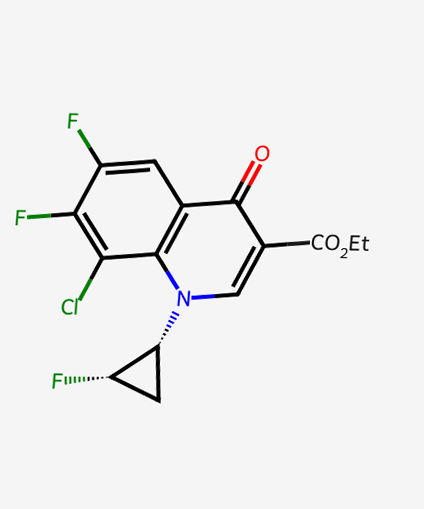 CCOC(=O)c1cn([C@@H]2C[C@@H]2F)c2c(Cl)c(F)c(F)cc2c1=O